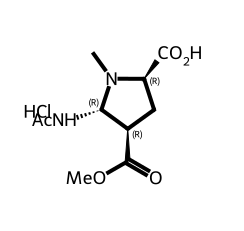 COC(=O)[C@@H]1C[C@H](C(=O)O)N(C)[C@H]1NC(C)=O.Cl